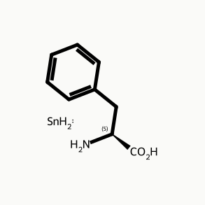 N[C@@H](Cc1ccccc1)C(=O)O.[SnH2]